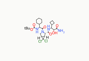 CC(C)(C)OC(=O)N[C@H](C(=O)N1C[C@H]2[C@@H]([C@H]1C(=O)NC(C1CCC1)C(O)C(N)=O)C2(Cl)Cl)C1CCCCC1